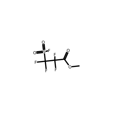 COC(=O)C(F)(F)C(F)(F)S(=O)(=O)F